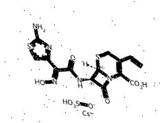 C=CC1=C(C(=O)O)N2C(=O)[C@@H](NC(=O)C(=NO)c3csc(N)n3)[C@H]2SC1.O=S(=O)([O-])O.[Cs+]